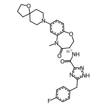 CN1C(=O)[C@@H](NC(=O)c2n[nH]c(Cc3ccc(F)cc3)n2)COc2ccc(N3CCC4(CCCO4)CC3)cc21